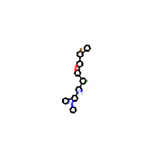 Brc1cc(-c2ccc(-c3ccc4c(c3)c3ccccc3n4-c3ccccc3)nc2)cc(-c2ccc3oc4cc(-c5ccc6sc7ccccc7c6c5)ccc4c3c2)c1